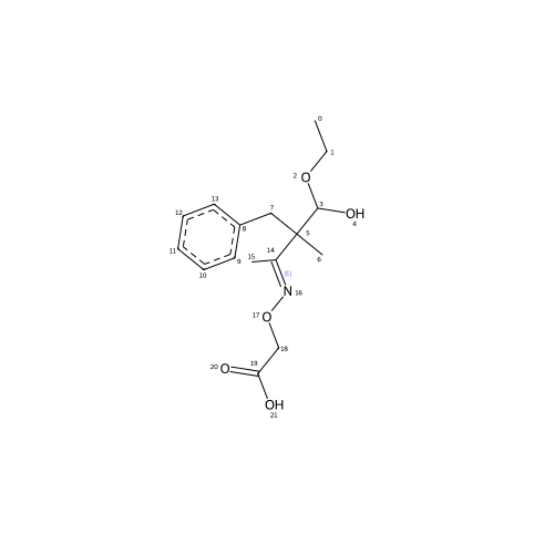 CCOC(O)C(C)(Cc1ccccc1)/C(C)=N/OCC(=O)O